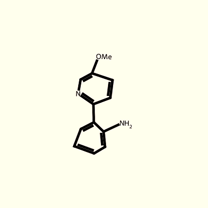 COc1ccc(-c2ccccc2N)nc1